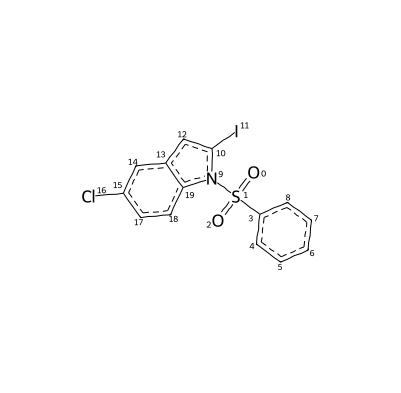 O=S(=O)(c1ccccc1)n1c(I)cc2cc(Cl)ccc21